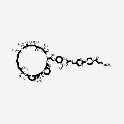 COCCC(=O)N1CCN(c2ncc(CNC(=O)O[C@@H]3CC[C@@H](C[C@@H](N)[C@@H]4CC(=O)[C@H](C)/C=C(\C)[C@@H](O)[C@@H](O)C(=O)[C@H](C)C[C@H](C)/C=C/C=C/C=C(\C)[C@@H](OC)C[C@@H]5CC[C@@H](C)[C@@](O)(O5)C(=O)C(=O)N5CCCC[C@H]5C(=O)O4)C[C@H]3OC)cn2)CC1